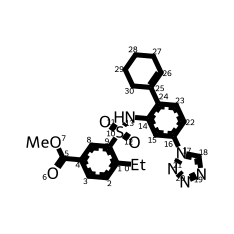 CCc1ccc(C(=O)OC)cc1S(=O)(=O)Nc1cc(-n2cnnn2)ccc1C1=CCCCC1